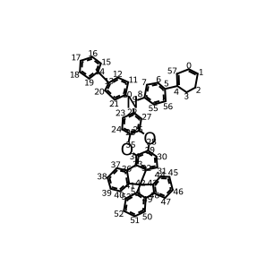 C1=CCCC(c2ccc(N(c3ccc(-c4ccccc4)cc3)c3ccc4c(c3)Oc3ccc5c(c3O4)-c3ccccc3C53c4ccccc4-c4ccccc43)cc2)=C1